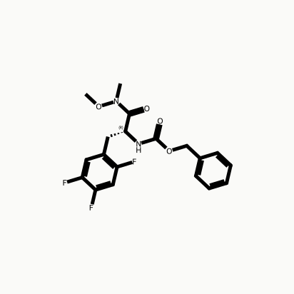 CON(C)C(=O)[C@@H](Cc1cc(F)c(F)cc1F)NC(=O)OCc1ccccc1